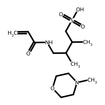 C=CC(=O)NCC(C)C(C)CS(=O)(=O)O.CN1CCOCC1